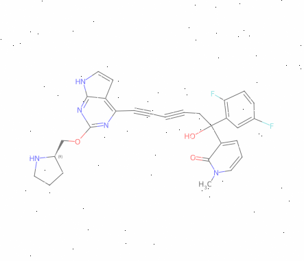 Cn1cccc(C(O)(CC#CC#Cc2nc(OC[C@H]3CCCN3)nc3[nH]ccc23)c2cc(F)ccc2F)c1=O